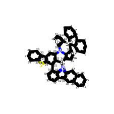 c1ccc2c(c1)-c1ccccc1[Si]21c2ccccc2N2c3cc4c(sc5ccccc54)c4c3B(c3cccc1c32)n1c2cc3ccccc3cc2c2cccc-4c21